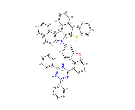 c1ccc(C2=NC(c3cccc4oc5cc(-n6c7ccc8ccccc8c7c7c8ccccc8c8c9ccccc9sc8c76)ccc5c34)NC(c3ccccc3)=N2)cc1